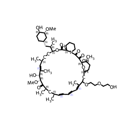 CO[C@@H]1C[C@H](C[C@@H](C)[C@@H]2CC[C@H](C)/C=C(\C)[C@@H](O)[C@@H](OC)C(=O)[C@H](C)C[C@H](C)/C=C/C=C/C=C(\C)C(OCCOCCO)C[C@@H]3CC[C@@H](C)[C@@](O)(O3)C(=O)C(=O)N3CCCC[C@H]3C(=O)O2)CC[C@H]1O